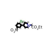 CCOC(=O)C[n+]1ccc(-c2cccc([N+](=O)[O-])c2)cc1.[Br-]